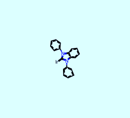 [Ir]=[c]1n(-c2ccccc2)c2ccccc2n1-c1ccccc1